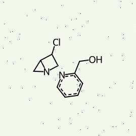 ClC1CN2CC12.OCc1ccccn1